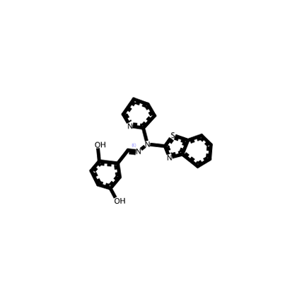 Oc1ccc(O)c(/C=N/N(c2ccccn2)c2nc3ccccc3s2)c1